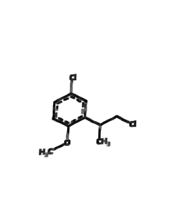 COc1ccc(Cl)cc1C(C)CCl